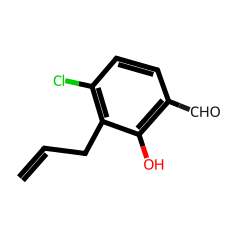 C=CCc1c(Cl)ccc(C=O)c1O